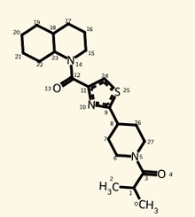 CC(C)C(=O)N1CCC(c2nc(C(=O)N3CCCC4CCCCC43)cs2)CC1